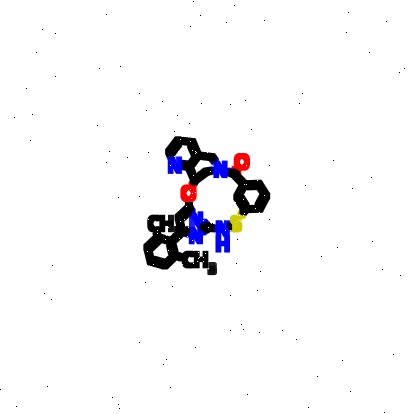 Cc1cccc(C)c1-c1cc2nc(n1)NSc1cccc(c1)C(=O)N1Cc3cccnc3C(C1)O2